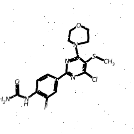 CSc1c(Cl)nc(-c2ccc(NC(N)=O)c(F)c2)nc1N1CCOCC1